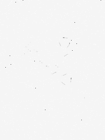 COc1cc(C(=O)N(Cc2cc3ccccc3s2)C[C@@H]2CCCN2C[C@H]2C[C@H]3CC[C@@H](C2)N3)cc2c1OC(C)(C)O2